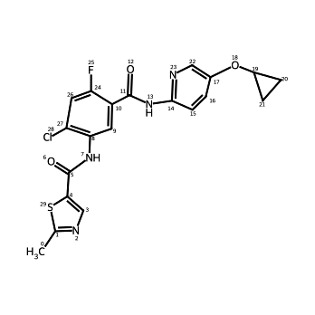 Cc1ncc(C(=O)Nc2cc(C(=O)Nc3ccc(OC4CC4)cn3)c(F)cc2Cl)s1